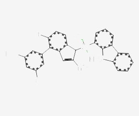 CCCC1=Cc2c(ccc(CC)c2-c2cc(C(F)(F)F)cc(C(F)(F)F)c2)[CH]1[Zr]([Cl])([Cl])[c]1cccc2c1[SiH2]c1ccccc1-2